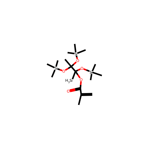 C=C(C)C(=O)OC([SiH3])(O[Si](C)(C)C)C(C)(O[Si](C)(C)C)O[Si](C)(C)C